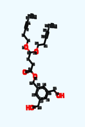 CCCCC#CCCOC(CCC(=O)OCc1cc(CO)cc(CO)c1)OCCC#CCCCC